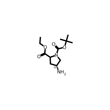 CCOC(=O)C1C[C@H](N)CN1C(=O)OC(C)(C)C